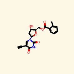 C#Cc1cn([C@H]2C[C@H](O)[C@@H](COC(=O)c3ccccc3C)O2)c(=O)[nH]c1=O